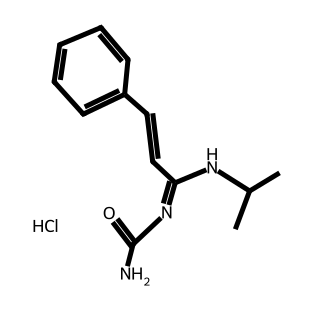 CC(C)NC(/C=C/c1ccccc1)=N/C(N)=O.Cl